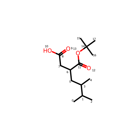 CC(C)C(C)CC(CC(=O)O)C(=O)OC(C)(C)C